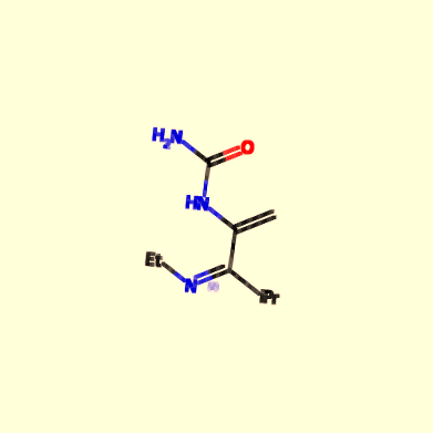 C=C(NC(N)=O)/C(=N\CC)C(C)C